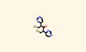 O=C(C(CBr)c1ccncn1)C(CBr)c1ccncn1